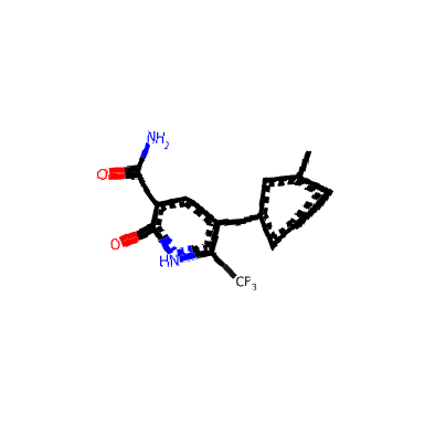 Cc1cccc(-c2cc(C(N)=O)c(=O)[nH]c2C(F)(F)F)c1